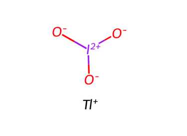 [O-][I+2]([O-])[O-].[Tl+]